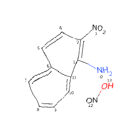 Nc1c([N+](=O)[O-])ccc2ccccc12.O=NO